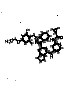 CCOc1cc(F)c(Cn2nc(-c3nc4c(c(Nc5ccnc(NC(=O)C6CC6)c5)n3)CCC4)c3ccccc32)c(F)c1